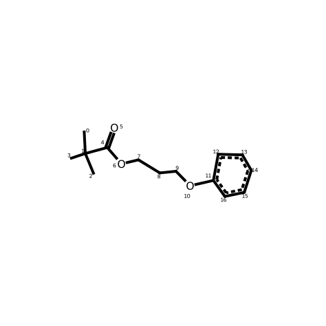 CC(C)(C)C(=O)OCCCOc1ccccc1